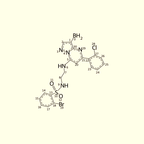 Bc1cnn2c(NCCNS(=O)(=O)c3ccccc3Br)cc(-c3ccccc3Cl)nc12